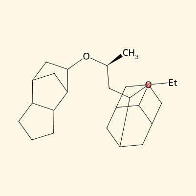 CCOC1C2CC3CC1CC(C2)C3C[C@H](C)OC1CC2CC1C1CCCC21